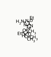 CCOc1nc(N)nc2c1ncn2[C@@H]1O[C@H](CC)[C@H]2OC(C)(C)O[C@]21C